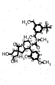 CCc1cc([C@@H](C)N(C)C(=O)N2CCN3C(=O)C(CCO)(CCO)CC3C2c2ccc(OC)cc2C)cc(C(F)(F)F)c1